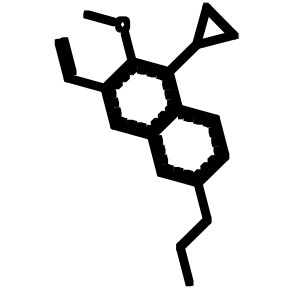 C=Cc1cc2cc(CCC)ccc2c(C2CC2)c1OC